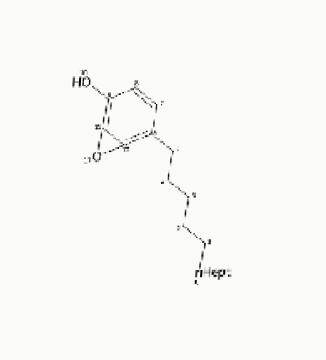 CCCCCCCCCCCCc1ccc(O)c2c1O2